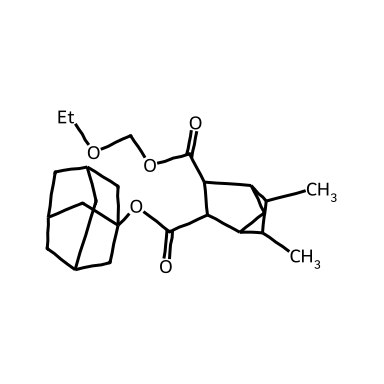 CCOCOC(=O)C1C2CC(C(C)C2C)C1C(=O)OC12CC3CC(CC(C3)C1)C2